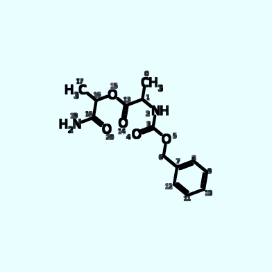 CC(NC(=O)OCc1ccccc1)C(=O)OC(C)C(N)=O